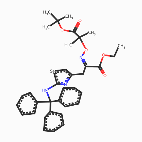 CCOC(=O)C(Cc1c[se]c(NC(c2ccccc2)(c2ccccc2)c2ccccc2)n1)=NOC(C)(C)C(=O)OC(C)(C)C